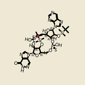 CC(C)(C)[Si](C)(C)OC1[C@H]2OP(O)(=S)OC[C@H]3O[C@@H](n4cnc5cncnc54)C(O[Si](C)(C)C(C)(C)C)[C@@H]3OP(O)(=S)OC[C@H]1O[C@H]2n1cnc2c(=O)[nH]ncc21